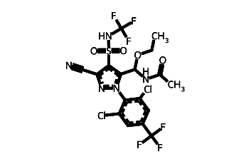 CCOC(NC(C)=O)c1c(S(=O)(=O)NC(F)(F)F)c(C#N)nn1-c1c(Cl)cc(C(F)(F)F)cc1Cl